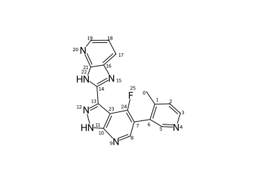 Cc1ccncc1-c1cnc2[nH]nc(-c3nc4cccnc4[nH]3)c2c1F